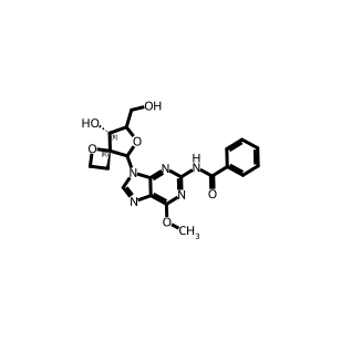 COc1nc(NC(=O)c2ccccc2)nc2c1ncn2C1OC(CO)[C@@H](O)[C@]12CCO2